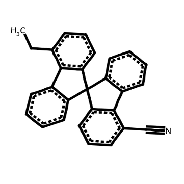 CCc1cccc2c1-c1ccccc1C21c2ccccc2-c2c(C#N)cccc21